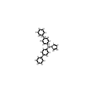 C1=CC(N(c2ccc(-c3ccccc3)cc2)c2ccc(-c3ccccc3)cc2)C=C1